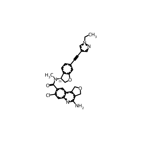 CCn1cc(C#Cc2ccc3c(c2)OC[C@H]3N(C)C(=O)c2cc3c4c(c(N)nc3cc2Cl)COC4)cn1